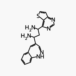 NC(CC(N)c1ncnc2ccsc12)C1=Cc2ccccc2NN=C1